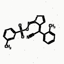 Cc1cccc(S(=O)(=O)ON=S2CC=CC2=C(C#N)c2ccccc2C)c1